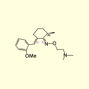 COc1ccccc1/C=C1\CCC[C@@H](C)\C1=N/OCCN(C)C